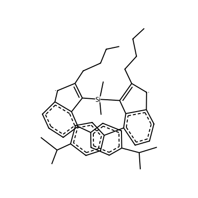 CCCCC1=C([Si](C)(C)C2=C(CCCC)[CH]c3cccc(-c4ccc(C(C)C)cc4)c32)c2c(cccc2-c2ccc(C(C)C)cc2)[CH]1